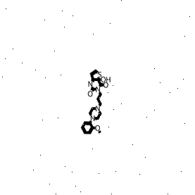 COc1ccccc1N1CCN(CCCN2C(=O)N=C3C=CSC3(O)C2=O)CC1